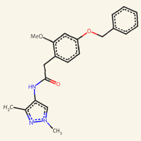 COc1cc(OCc2ccccc2)ccc1CC(=O)Nc1cn(C)nc1C